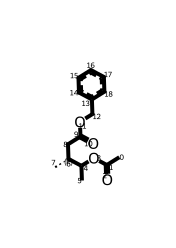 CC(=O)OC(C)[C@H](C)CC(=O)OCc1ccccc1